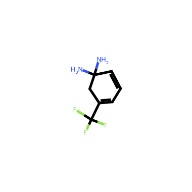 NC1(N)C=CC=C(C(F)(F)F)C1